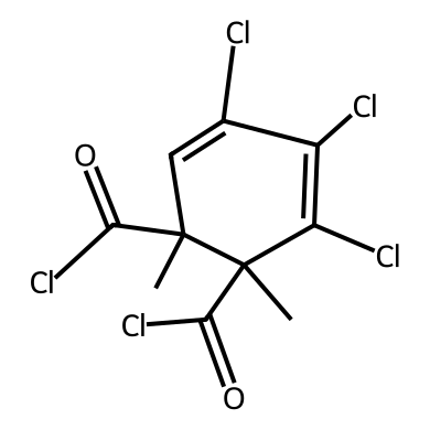 CC1(C(=O)Cl)C=C(Cl)C(Cl)=C(Cl)C1(C)C(=O)Cl